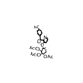 CC(=O)O[C@@H]1[C@@H](OC(C)=O)[C@H](OC(C)=O)CS[C@H]1Oc1cccnc1C(=O)c1ccc(C#N)cc1